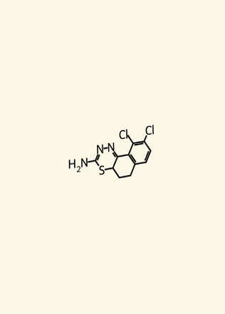 NC1=NN=C2c3c(ccc(Cl)c3Cl)CCC2S1